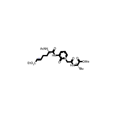 CCOC(=O)/C=C/CC[C@H](NC(C)=O)C(=O)Nc1cccn(CC(=O)N[C@H](C(=O)OC)C(C)CC)c1=O